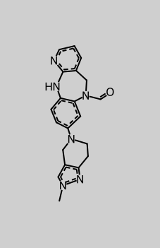 Cn1cc2c(n1)CCN(c1ccc3c(c1)N(C=O)Cc1cccnc1N3)C2